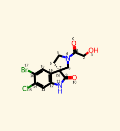 O=C(CO)N1CC[C@]2(C1)C(=O)Nc1cc(Cl)c(Br)cc12